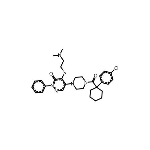 CN(C)CCSc1c(N2CCN(C(=O)C3(c4ccc(Cl)cc4)CCCCC3)CC2)cnn(-c2ccccc2)c1=O